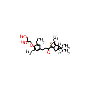 CCc1cc(CCC(=O)c2sc(C)c3c2C[C@@H]2[C@H]3C2(C)C)cc(C)c1OC[C@H](O)CO